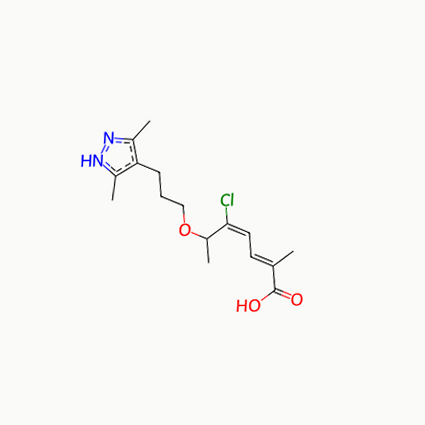 C/C(=C\C=C(\Cl)C(C)OCCCc1c(C)n[nH]c1C)C(=O)O